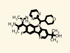 C/C(N)=C(\c1cc2c(cc1F)c1ncc(C(C)(C)O)cc1n2C(c1ncccn1)C1CCOCC1)N(C)N